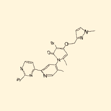 Cc1cnc(-c2ccnc(C(C)C)n2)cc1-n1c(C)cc(OCc2ccn(C)n2)c(Br)c1=O